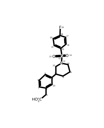 O=C(O)Cc1cccc(C2CCCN(S(=O)(=O)c3ccc(F)cc3)C2)c1